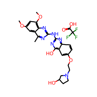 COc1cc(OC)c2nc(Nc3nc(O)c4cc(OCCN5CCC(O)C5)ccc4n3)nc(C)c2c1.O=C(O)C(F)(F)F